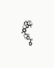 Cc1cc(F)c(-c2cc(C(F)(F)F)c3c(N)ncnn23)cc1C(=O)N[C@@H]1CN(C(=O)C2CCCC2)C[C@@H]1F